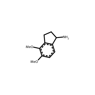 COc1ccc2c(c1OC)CCC2N